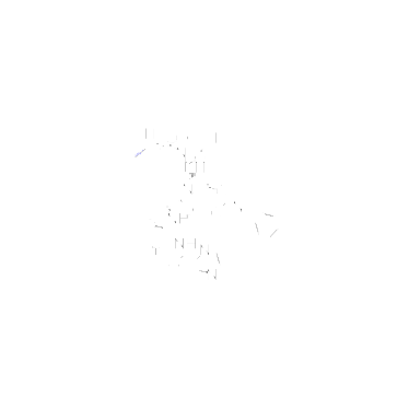 CC(C)C(NC(=O)c1cnccn1)C(=O)N[C@H]1CCCCC/C=C\[C@@H]2C[C@@]2(C(=O)O)NC(=O)[C@@H]2C[C@@H](OC(=O)N3CCc4ccccc4C3)CN2C1=O